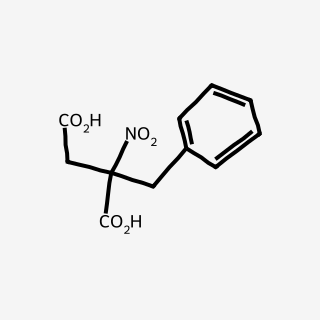 O=C(O)CC(Cc1ccccc1)(C(=O)O)[N+](=O)[O-]